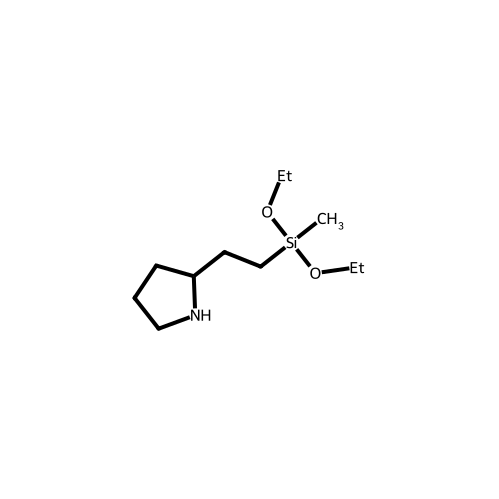 CCO[Si](C)(CCC1CCCN1)OCC